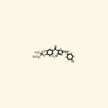 CCOC(=O)C(C)(C)Oc1ccc(C(=O)c2sc(Nc3ccc(F)cc3)nc2N)cc1